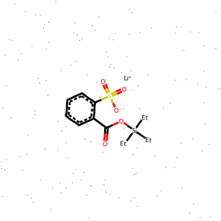 CC[Si](CC)(CC)OC(=O)c1ccccc1S(=O)(=O)[O-].[Li+]